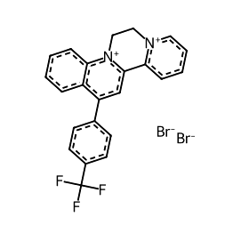 FC(F)(F)c1ccc(-c2cc3[n+](c4ccccc24)CC[n+]2ccccc2-3)cc1.[Br-].[Br-]